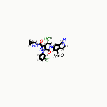 COCc1cc(N2CCc3c(C(=O)NCC4CC4)nn(-c4cccc(Cl)c4)c3C2=O)cc2c1CCNC2.Cl